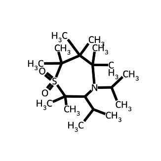 CC(C)C1N(C(C)C)C(C)(C)C(C)(C)C(C)(C)S(=O)(=O)C1(C)C